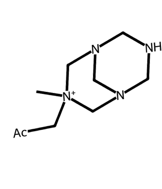 CC(=O)C[N+]1(C)CN2CNCN(C2)C1